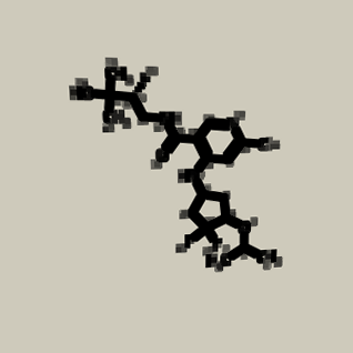 CC(C)OC1CC(Nc2cc(Cl)ncc2C(=O)NC[C@@H](F)C(C)(C)O)CC1(F)F